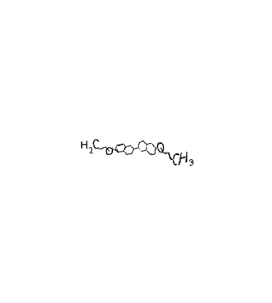 C=CCOc1ccc2c(c1)CCC(C1CCC3CC(OCC=CC)CCC3C1)C2